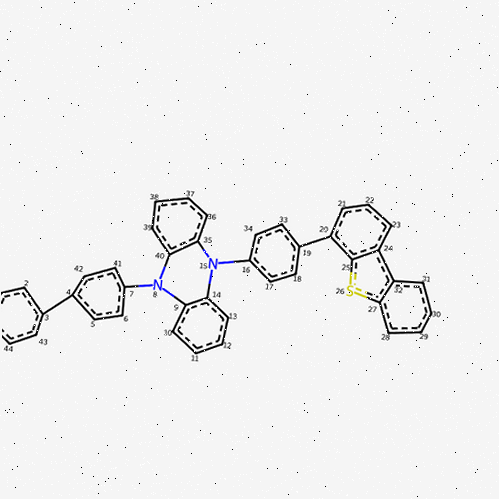 c1ccc(-c2ccc(N3c4ccccc4N(c4ccc(-c5cccc6c5sc5ccccc56)cc4)c4ccccc43)cc2)cc1